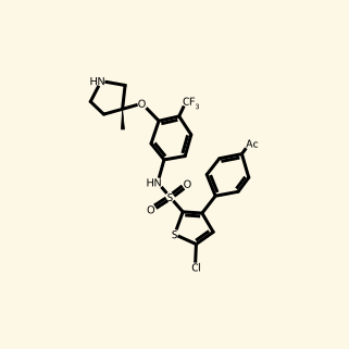 CC(=O)c1ccc(-c2cc(Cl)sc2S(=O)(=O)Nc2ccc(C(F)(F)F)c(O[C@]3(C)CCNC3)c2)cc1